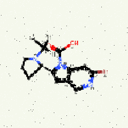 [2H]C([2H])([2H])N1CCC[C@@H]1c1cc2cnc(Br)cc2n1C(=O)O